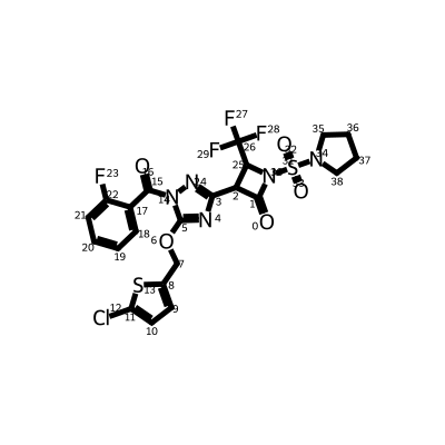 O=C1C(c2nc(OCc3ccc(Cl)s3)n(C(=O)c3ccccc3F)n2)C(C(F)(F)F)N1S(=O)(=O)N1CCCC1